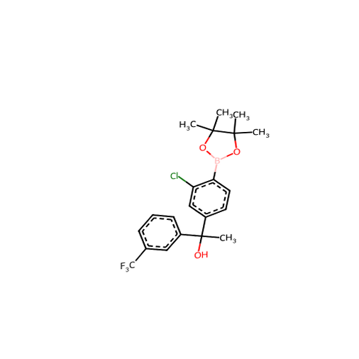 CC(O)(c1cccc(C(F)(F)F)c1)c1ccc(B2OC(C)(C)C(C)(C)O2)c(Cl)c1